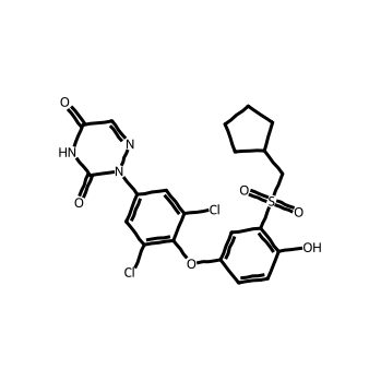 O=c1cnn(-c2cc(Cl)c(Oc3ccc(O)c(S(=O)(=O)CC4CCCC4)c3)c(Cl)c2)c(=O)[nH]1